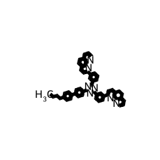 CCCCc1ccc(-c2ccc(-c3nc(-c4cccc(-c5ccc6c(n5)-c5ncccc5CC6)c4)nc(-c4cccc(-c5ccc6ccc7cccnc7c6n5)c4)n3)cc2)cc1